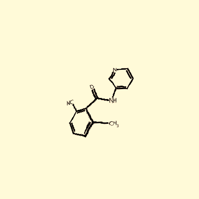 Cc1cccc(C#N)c1C(=O)Nc1cccnc1